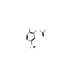 C=C(C)Oc1cc([N+](=O)[O-])ccc1N